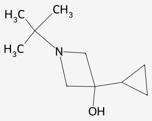 CC(C)(C)N1CC(O)(C2CC2)C1